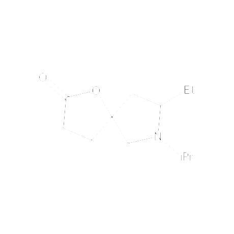 CCC1CC2(CCC(=O)O2)CN1C(C)C